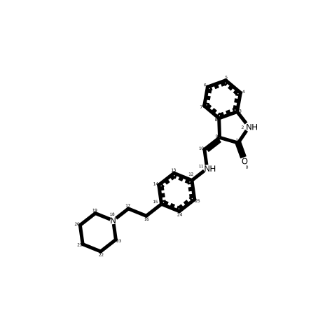 O=C1Nc2ccccc2C1=CNc1ccc(CCN2CCCCC2)cc1